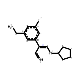 N=C/C(=C\NC1CCCC1)c1cc(F)cc(CN)c1